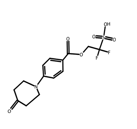 O=C1CCN(c2ccc(C(=O)OCC(F)(F)S(=O)(=O)O)cc2)CC1